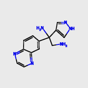 NCC(N)(c1cn[nH]c1)c1ccc2nccnc2c1